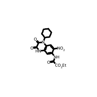 CCOC(=O)C(=O)Nc1cc2[nH]c(=O)c(=O)n(C3CCCCC3)c2cc1[N+](=O)[O-]